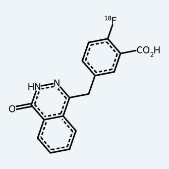 O=C(O)c1cc(Cc2n[nH]c(=O)c3ccccc23)ccc1[18F]